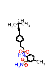 Cc1ccc(NS(=O)(=O)CCc2ccc(C#CC(C)(C)C)cc2)c(S(N)(=O)=O)c1